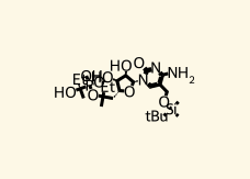 CCC(C)(C[C@H]1O[C@@H](n2cc(CO[Si](C)(C)C(C)(C)C)c(N)nc2=O)[C@H](O)[C@@H]1O)OP(=O)(O)[C@@](C)(O)CC